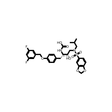 CC(C)CN(C[C@H](O)[C@H](Cc1ccc(OCc2cc(F)cc(F)c2)cc1)NC(=O)O)S(=O)(=O)c1ccc2c(c1)OCO2